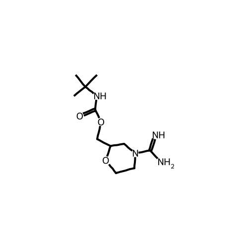 CC(C)(C)NC(=O)OCC1CN(C(=N)N)CCO1